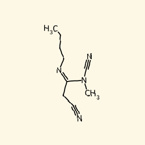 CCCCN=C(CC#N)N(C)C#N